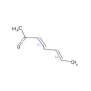 C/C=C/C=C/C(C)=O